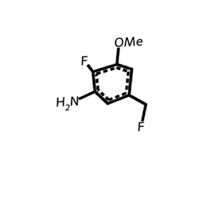 COc1cc(CF)cc(N)c1F